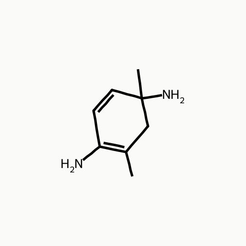 CC1=C(N)C=CC(C)(N)C1